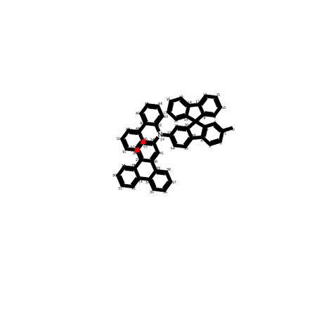 Cc1ccc2c(c1)C1(c3ccccc3-c3ccccc31)c1cc(N(c3ccc4c5ccccc5c5ccccc5c4c3)c3ccccc3-c3ccccc3)ccc1-2